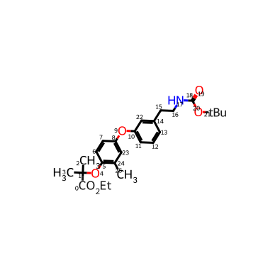 CCOC(=O)C(C)(C)Oc1ccc(Oc2cccc(CCNC(=O)OC(C)(C)C)c2)cc1C